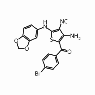 [C-]#[N+]c1c(Nc2ccc3c(c2)OCO3)sc(C(=O)c2ccc(Br)cc2)c1N